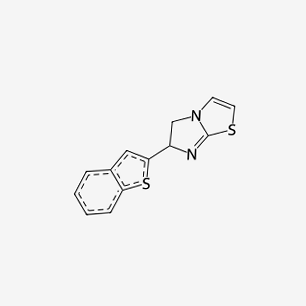 C1=CN2CC(c3cc4ccccc4s3)N=C2S1